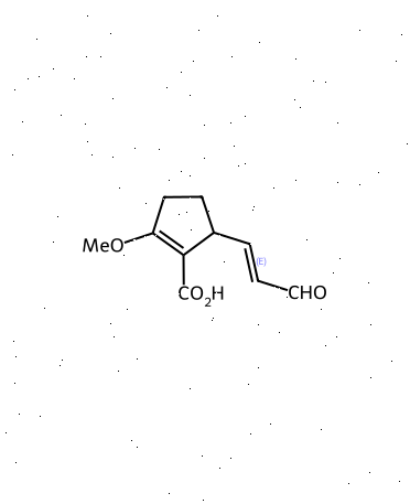 COC1=C(C(=O)O)C(/C=C/C=O)CC1